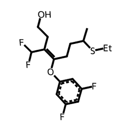 CCSC(C)CC/C(Oc1cc(F)cc(F)c1)=C(\CCO)C(F)F